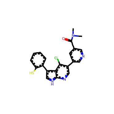 CN(C)C(=O)c1cncc(-c2cnc3[nH]cc(-c4ccccc4S)c3c2Cl)c1